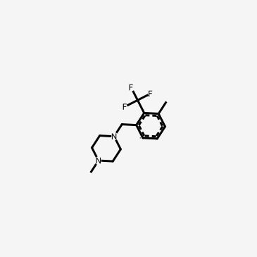 Cc1cc[c]c(CN2CCN(C)CC2)c1C(F)(F)F